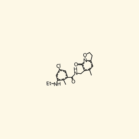 CCNc1cc(Cl)cc(C(=O)NCc2c(C)cc3n(c2=O)OCC3)c1C